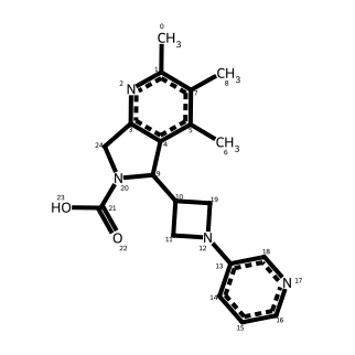 Cc1nc2c(c(C)c1C)C(C1CN(c3cccnc3)C1)N(C(=O)O)C2